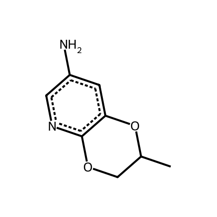 CC1COc2ncc(N)cc2O1